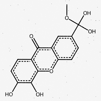 COC(O)(O)c1ccc2oc3c(O)c(O)ccc3c(=O)c2c1